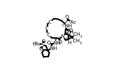 CC(=O)C(=O)[C@@H]1CCCCCCCCC[C@H](NC(=O)NC2(CS(=O)(=O)C(C)(C)C)CCCCC2)C(=O)N2C[C@H]3[C@@H]([C@H]2C(=O)N1)C3(C)C